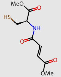 COC(=O)/C=C/C(=O)N[C@@H](CS)C(=O)OC